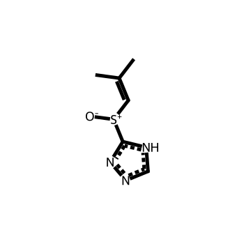 CC(C)=C[S+]([O-])c1nnc[nH]1